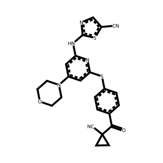 N#Cc1cnc(Nc2cc(N3CCOCC3)cc(Sc3ccc(C(=O)C4(C#N)CC4)cc3)n2)s1